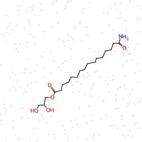 NC(=O)CCCCCCCCCCCCCCC(=O)OCC(O)CO